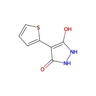 O=c1[nH][nH]c(O)c1-c1cccs1